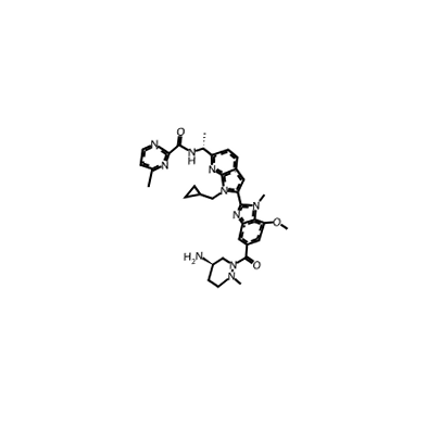 COc1cc(C(=O)N2C[C@H](N)CCN2C)cc2nc(-c3cc4ccc([C@@H](C)NC(=O)c5nccc(C)n5)nc4n3CC3CC3)n(C)c12